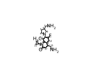 Cc1c(N2CCC(CN)C2)c(F)cc2c(CN)cc(=O)n(C3CC3)c12